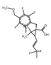 COCc1c(F)c(F)c(C[C@@]2(C(=O)O)C(/C=C/C(F)(F)F)C2(C)C)c(F)c1F